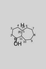 O[C@H]1CCC[C@H]2CCCCCC21